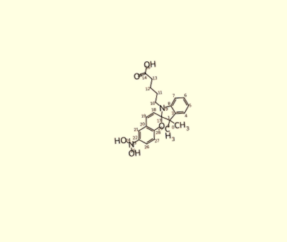 CC1(C)c2ccccc2N(CCCCC(=O)O)C12C=Cc1cc(N(O)O)ccc1O2